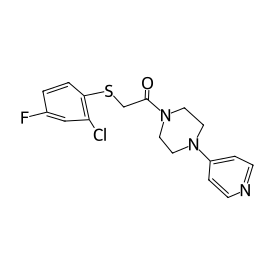 O=C(CSc1ccc(F)cc1Cl)N1CCN(c2ccncc2)CC1